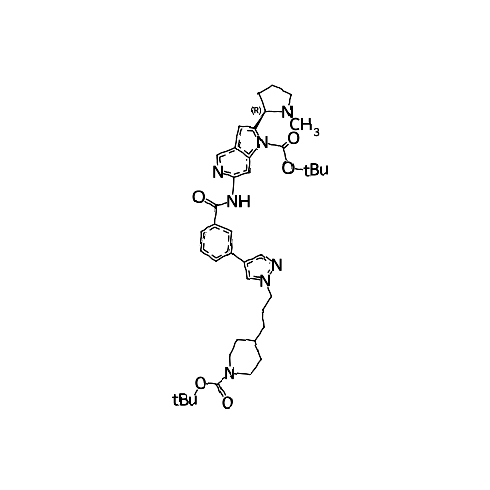 CN1CCC[C@@H]1c1cc2cnc(NC(=O)c3cccc(-c4cnn(CCCC5CCN(C(=O)OC(C)(C)C)CC5)c4)c3)cc2n1C(=O)OC(C)(C)C